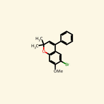 COc1cc2c(cc1Br)C(c1ccccc1)=CC(C)(C)O2